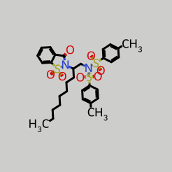 CCCCCCCCC(CN(S(=O)(=O)c1ccc(C)cc1)S(=O)(=O)c1ccc(C)cc1)N1C(=O)c2ccccc2S1(=O)=O